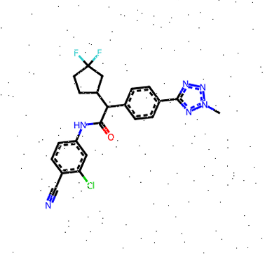 Cn1nnc(-c2ccc(C(C(=O)Nc3ccc(C#N)c(Cl)c3)C3CCC(F)(F)C3)cc2)n1